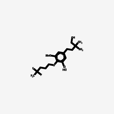 COc1cc(CCC(C)(N)CO)cc(Cl)c1OCCCC(F)(F)C(F)(F)F.Cl